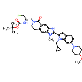 COC1CCN(c2ccc3cc(-c4nc5cc6c(cc5n4C)CCN(C[C@@H](CF)NC(=O)OC(C)(C)C)C6=O)n(CC4CC4)c3c2)CC1